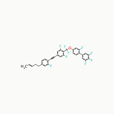 C/C=C/CCc1ccc(C#Cc2cc(F)c(C(F)(F)Oc3ccc(-c4cc(F)c(F)c(F)c4)c(F)c3)c(F)c2)c(F)c1